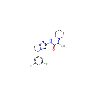 CC(C(=O)Nc1cn2c(n1)CCC2c1cc(F)cc(F)c1)N1CCCCC1